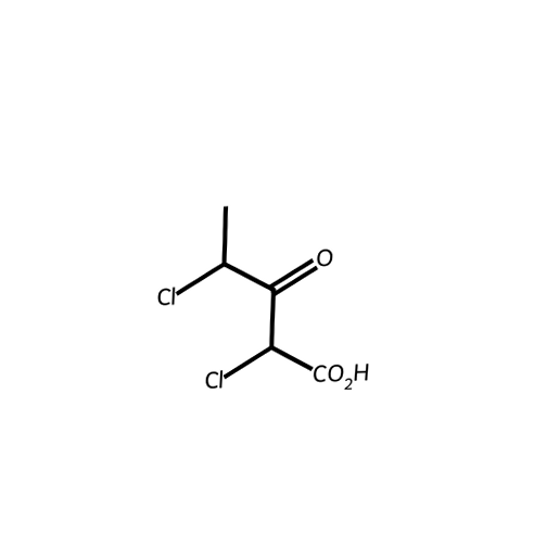 CC(Cl)C(=O)C(Cl)C(=O)O